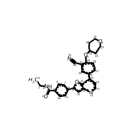 CCNC(=O)c1ccc(-c2cc3nccc(-c4ccc(OC5CCOCC5)c(C#N)c4)c3o2)cc1